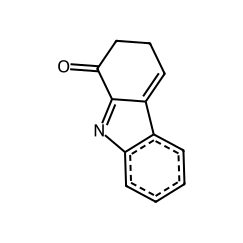 O=C1CCC=C2C1=Nc1ccccc12